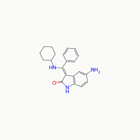 Nc1ccc2c(c1)/C(=C(/NC1CCCCC1)c1ccccc1)C(=O)N2